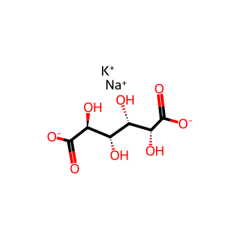 O=C([O-])[C@@H](O)[C@@H](O)[C@H](O)[C@@H](O)C(=O)[O-].[K+].[Na+]